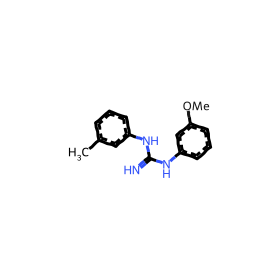 COc1cccc(NC(=N)Nc2cccc(C)c2)c1